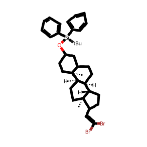 CC(C)(C)[Si](OC1CC[C@@]2(C)C(CC[C@@H]3[C@H]2CC[C@]2(C)C(C=C(Br)Br)CC[C@@H]32)C1)(c1ccccc1)c1ccccc1